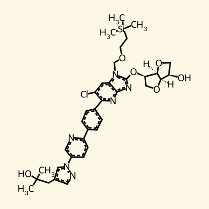 CC(C)(O)Cc1cnn(-c2ccc(-c3ccc(-c4nc5nc(O[C@@H]6CO[C@H]7[C@@H]6OC[C@H]7O)n(COCC[Si](C)(C)C)c5cc4Cl)cc3)nc2)c1